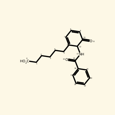 O=C(O)CCCCCC1=CC=CC(=O)C1NC(=O)c1ccccc1